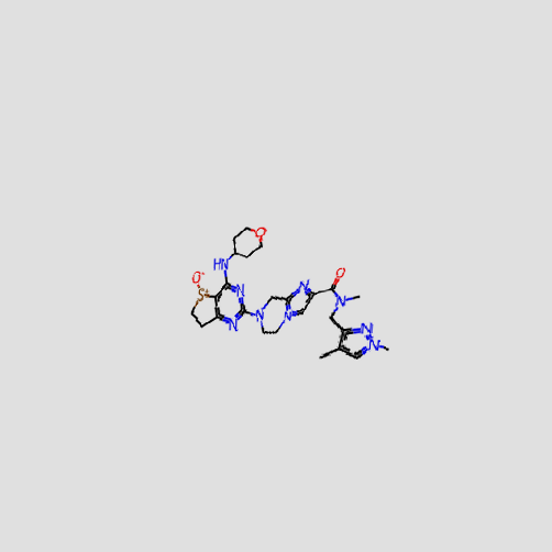 Cc1cn(C)nc1CN(C)C(=O)c1cn2c(n1)CN(c1nc3c(c(NC4CCOCC4)n1)[S+]([O-])CC3)CC2